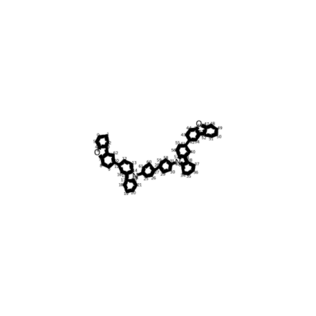 c1ccc2c(c1)oc1ccc(-c3ccc4c(c3)c3ccccc3n4-c3ccc(-c4ccc(-n5c6ccccc6c6cc(-c7ccc8oc9ccccc9c8c7)ccc65)cc4)cc3)cc12